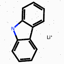 [Li+].c1ccc2c(c1)[n-]c1ccccc12